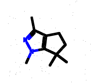 Cc1nn(C)c2c1CCC2(C)C